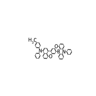 Cc1ccc(N(c2ccccc2)c2ccc3c4c(cccc24)Oc2cc4c(cc2-3)Oc2cccc3c2B4c2ccccc2N3c2ccccc2)cc1